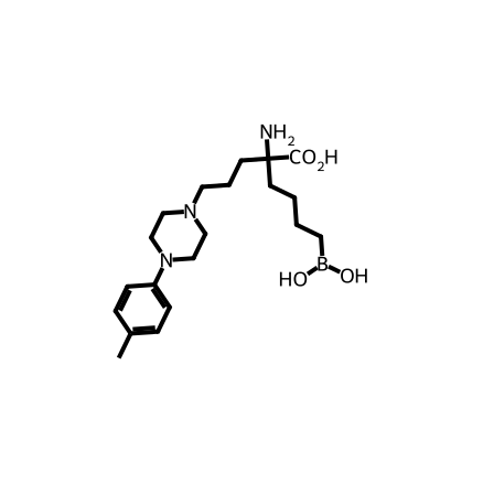 Cc1ccc(N2CCN(CCCC(N)(CCCCB(O)O)C(=O)O)CC2)cc1